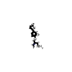 Cl.Cn1ccc(-c2ccc(OC/C(=C/F)CN)cc2)n1